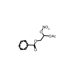 CC(=O)OC(COC(=O)c1ccccc1)O[N+](=O)[O-]